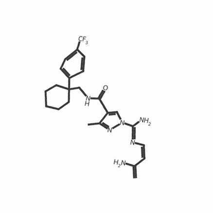 C=C(N)/C=C\N=C(/N)n1cc(C(=O)NCC2(c3ccc(C(F)(F)F)cc3)CCCCC2)c(C)n1